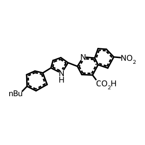 CCCCc1ccc(-c2ccc(-c3cc(C(=O)O)c4cc([N+](=O)[O-])ccc4n3)[nH]2)cc1